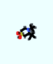 CC(C)(C)C1CS(=O)(=O)CCN1C(C)(C)C